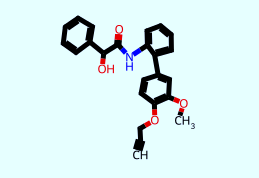 C#CCOc1ccc(-c2ccccc2NC(=O)C(O)c2ccccc2)cc1OC